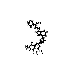 C=C/C=C(\C=C(\NC)OC(C)C)c1ncc(-c2cccc3c2CC[C@@H]3NCC(O)N2CCNCC2)s1